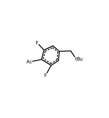 CC(=O)c1c(F)cc(CC(C)(C)C)cc1F